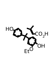 CC(C)=CC(=O)O.CCOc1cc(C(C)(C)c2ccc(O)cc2)ccc1O